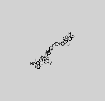 CC1(C)[C@H](NC(=O)c2ccc(N3CCC(CN4CCN(c5ccc6c(c5)C(O)N(C5CCC(=O)NC5=O)C6=O)CC4)CC3)nn2)C(C)(C)[C@H]1Oc1ccc(C#N)c2ncccc12